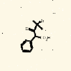 CC(C)(Br)C(=O)C(C(=O)O)c1ccccc1